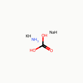 N.O=C(O)O.[KH].[NaH]